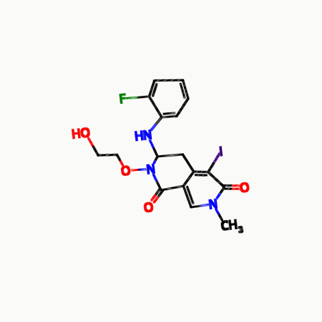 Cn1cc2c(c(I)c1=O)CC(Nc1ccccc1F)N(OCCO)C2=O